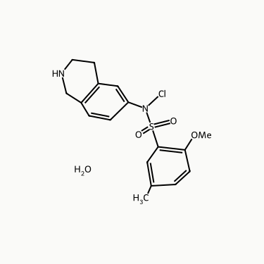 COc1ccc(C)cc1S(=O)(=O)N(Cl)c1ccc2c(c1)CCNC2.O